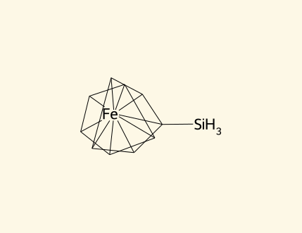 [SiH3][C]12[CH]3[CH]4[CH]5[CH]1[Fe]45321678[CH]2[CH]1[CH]6[CH]7[CH]28